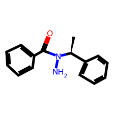 C[C@@H](c1ccccc1)N(N)C(=O)c1ccccc1